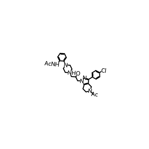 CC(=O)Nc1ccccc1N1CCN(CC(O)Cn2nc(-c3ccc(Cl)cc3)c3c2CCN(C(C)=O)C3)CC1